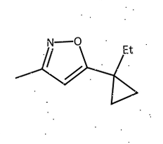 CCC1(c2cc(C)no2)CC1